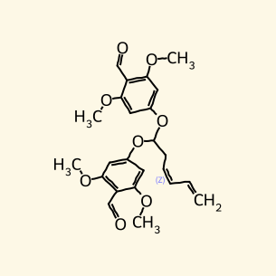 C=C/C=C\CC(Oc1cc(OC)c(C=O)c(OC)c1)Oc1cc(OC)c(C=O)c(OC)c1